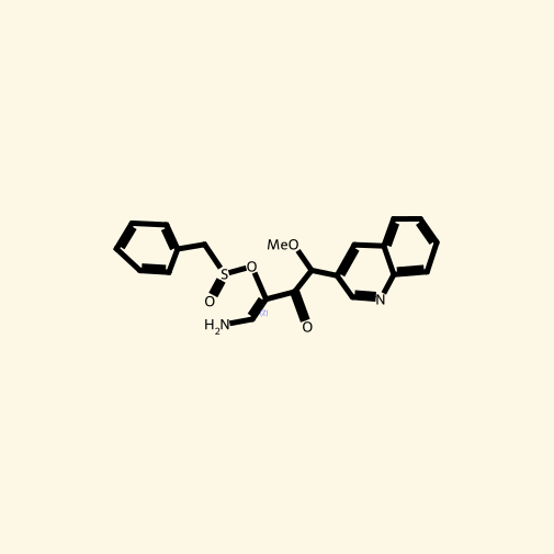 COC(C(=O)/C(=C/N)OS(=O)Cc1ccccc1)c1cnc2ccccc2c1